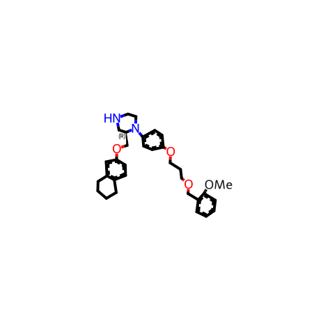 COc1ccccc1COCCCOc1ccc(N2CCNC[C@@H]2COc2ccc3c(c2)CCCC3)cc1